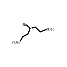 CCCCCCCCCCCCN(CCCCCCCCCCCC)C(C)(C)C